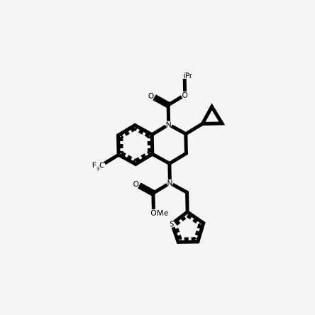 COC(=O)N(Cc1cccs1)C1CC(C2CC2)N(C(=O)OC(C)C)c2ccc(C(F)(F)F)cc21